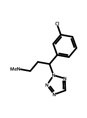 CNCCC(c1cccc(Cl)c1)n1ncnn1